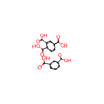 O=C(O)c1ccc(C(=O)O)c(C(=O)O)c1.O=C(O)c1cccc(C(=O)O)c1